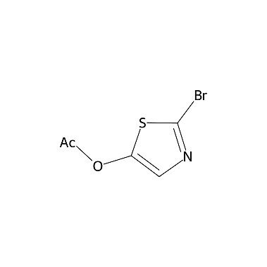 CC(=O)Oc1cnc(Br)s1